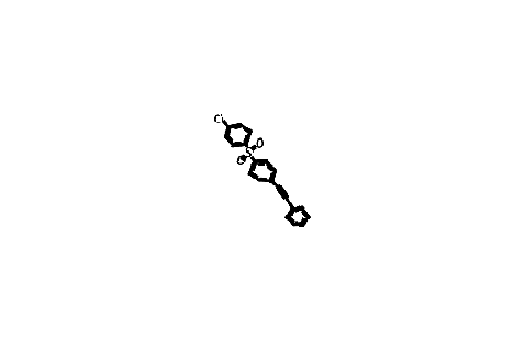 O=S(=O)(c1ccc(Cl)cc1)c1ccc(C#Cc2ccccc2)cc1